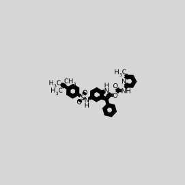 Cc1cccc(NC(=O)Oc2[nH]c3ccc(NS(=O)(=O)c4ccc(C(C)(C)C)cc4)cc3c2-c2ccccc2)n1